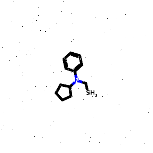 [SiH3]CN(c1ccccc1)C1CCCC1